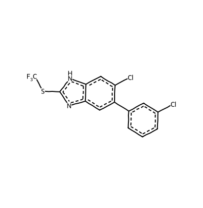 FC(F)(F)Sc1nc2cc(-c3cccc(Cl)c3)c(Cl)cc2[nH]1